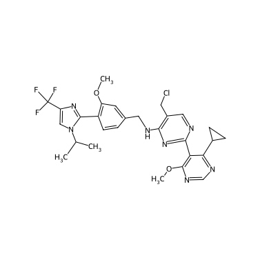 COc1cc(CNc2nc(-c3c(OC)ncnc3C3CC3)ncc2CCl)ccc1-c1nc(C(F)(F)F)cn1C(C)C